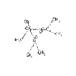 CCCCCCCCC(=O)N(CCCN1CCCC1)C(CCCCCC(=O)OCC(CCCCCC)CCCCCCCC)CCCCCC(=O)OCC(CCCCCC)CCCCCCCC